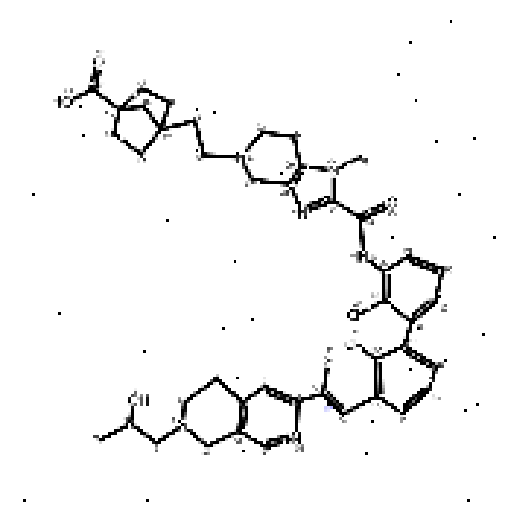 CC(O)CN1CCc2cc(/C(F)=C/c3cccc(-c4cccc(NC(=O)c5nc6c(n5C)CCN(CCC57CCC(C(=O)O)(CC5)C7)C6)c4Cl)c3Cl)ncc2C1